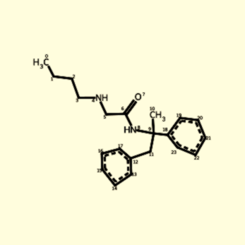 CCCCNCC(=O)NC(C)(Cc1ccccc1)c1ccccc1